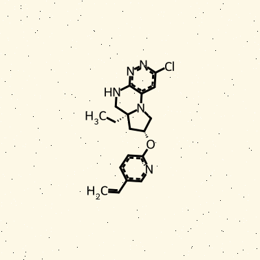 C=Cc1ccc(O[C@H]2CN3c4cc(Cl)nnc4NC[C@]3(CC)C2)nc1